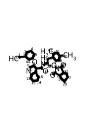 C#Cc1cccc(Oc2cnc3ccccc3c2C(=O)N[C@@H](CON2C(=O)c3ccccc3C2=O)Cc2ccc(C)cc2C)c1